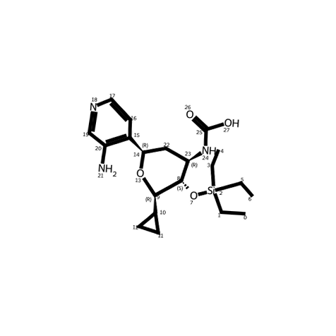 CC[Si](CC)(CC)O[C@@H]1[C@@H](C2CC2)O[C@@H](c2ccncc2N)C[C@H]1NC(=O)O